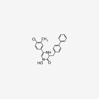 Cc1cc(C2=CN(O)C(=O)C(Cc3ccc(-c4ccccc4)cc3)N2)ccc1Cl